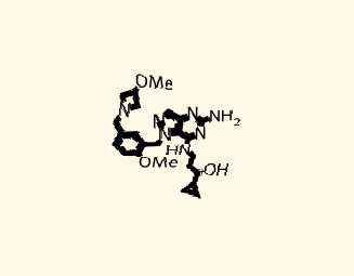 COc1ccc(CN2CC(OC)C2)cc1Cn1ncc2nc(N)nc(NCC[C@H](O)C3CC3)c21